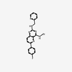 CC(C)Nc1nc(NCc2ccccn2)nc2ccc(-c3ccc(F)cc3)nc12